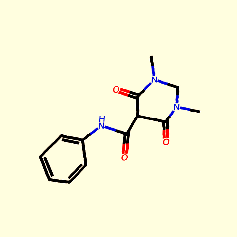 CN1CN(C)C(=O)C(C(=O)Nc2ccccc2)C1=O